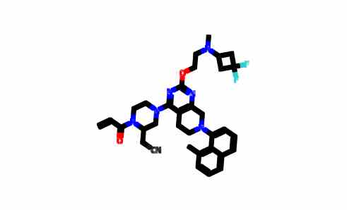 C=CC(=O)N1CCN(c2nc(OCCN(C)C3CC(F)(F)C3)nc3c2CCN(c2cccc4cccc(C)c24)C3)CC1CC#N